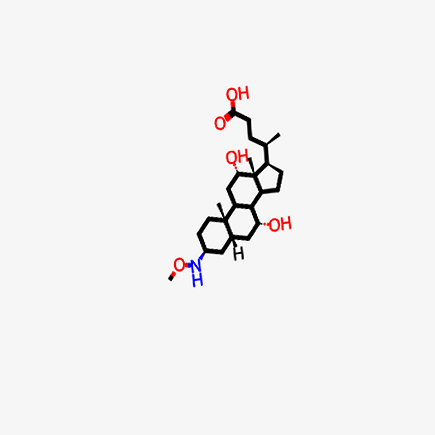 CON[C@H]1CC[C@]2(C)C3C[C@H](O)[C@@]4(C)C(CC[C@@H]4[C@H](C)CCC(=O)O)C3[C@H](O)C[C@@H]2C1